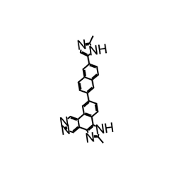 Cc1ncc(-c2ccc3cc(-c4ccc5c(c4)c4cnncc4c4nc(C)[nH]c54)ccc3c2)[nH]1